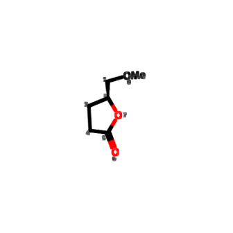 COC[C@@H]1CCC(=O)O1